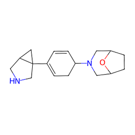 C1=CC(N2CC3CCC(C2)O3)CC=C1C12CNCC1C2